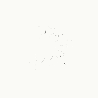 COc1ccc(/C=C/C(=O)N2CCCC2)cc1C(=O)N[C@H]1[C@@H](C(=O)Nc2ccc(F)c(C(F)(F)F)c2)[C@H]2CC[C@@H]1/C2=C\C(F)(F)F